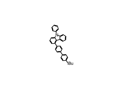 CCC(C)c1ccc(-c2ccc(-c3cccc4c3c3ccccc3n4-c3ccccc3)cc2)cc1